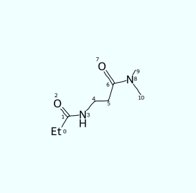 CCC(=O)NCCC(=O)N(C)C